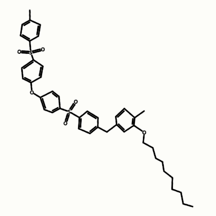 CCCCCCCCCCOc1cc(Cc2ccc(S(=O)(=O)c3ccc(Oc4ccc(S(=O)(=O)c5ccc(C)cc5)cc4)cc3)cc2)ccc1C